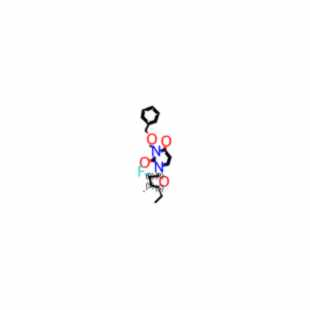 CC[C@@H]1O[C@@H](n2ccc(=O)n(COCc3ccccc3)c2=O)[C@H](F)[C@H]1C